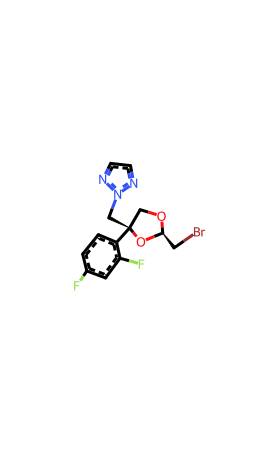 Fc1ccc([C@]2(Cn3nccn3)CO[C@@H](CBr)O2)c(F)c1